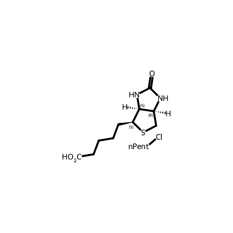 CCCCCCl.O=C(O)CCCC[C@@H]1SC[C@@H]2NC(=O)N[C@@H]21